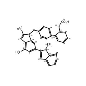 CCCc1nc2c(C)cc(-c3nc4ccccc4n3C)cc2n1Cc1ccc(-c2ccccc2OC(=O)O)cc1